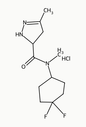 CC1=NNC(C(=O)N(C)C2CCC(F)(F)CC2)C1.Cl